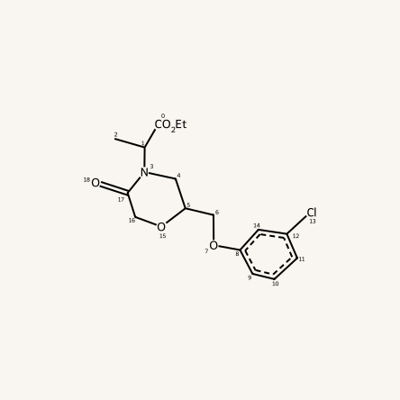 CCOC(=O)C(C)N1CC(COc2cccc(Cl)c2)OCC1=O